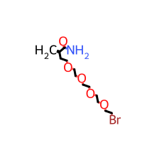 C=C(CCOCCOCCOCCOCCBr)C(N)=O